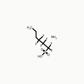 CCCC(F)(F)C(F)(F)C(F)(F)S(=O)(=O)O.N